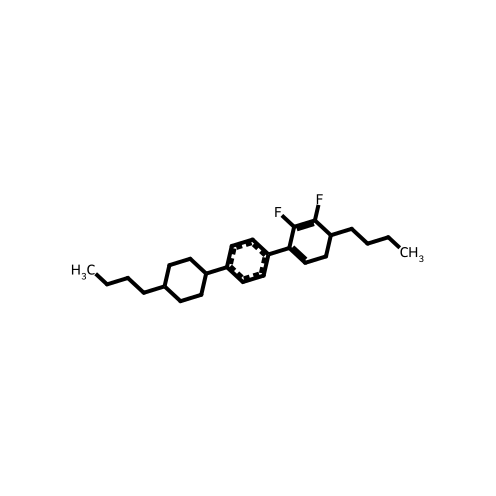 CCCCC1CCC(c2ccc(C3=CCC(CCCC)C(F)=C3F)cc2)CC1